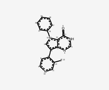 O=c1[nH]cnc2c(-c3ccncc3F)cn(-c3ccccc3)c12